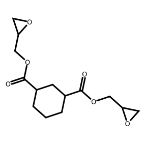 O=C(OCC1CO1)C1CCCC(C(=O)OCC2CO2)C1